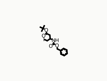 CC(C)(C)OC(=O)CC(CI)NC(=O)OCc1ccccc1